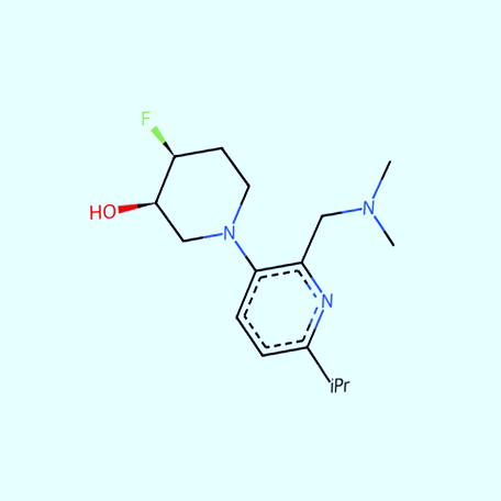 CC(C)c1ccc(N2CC[C@H](F)[C@H](O)C2)c(CN(C)C)n1